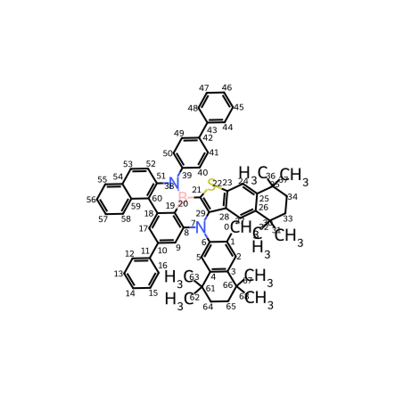 Cc1cc2c(cc1N1c3cc(-c4ccccc4)cc4c3B(c3sc5cc6c(cc5c31)C(C)(C)CCC6(C)C)N(c1ccc(-c3ccccc3)cc1)c1ccc3ccccc3c1-4)C(C)(C)CCC2(C)C